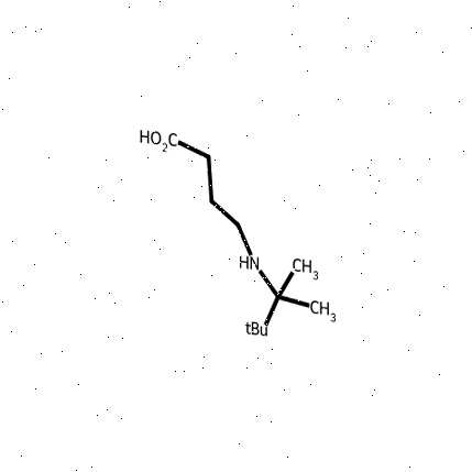 CC(C)(C)C(C)(C)NCCCC(=O)O